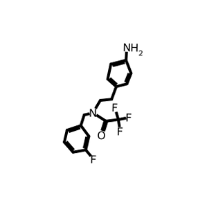 Nc1ccc(CCN(Cc2cccc(F)c2)C(=O)C(F)(F)F)cc1